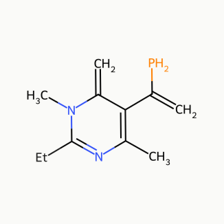 C=C(P)C1=C(C)N=C(CC)N(C)C1=C